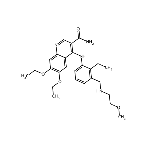 CCOc1cc2ncc(C(N)=O)c(Nc3cccc(CNCCOC)c3CC)c2cc1OCC